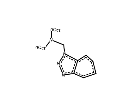 CCCCCCCCN(CCCCCCCC)Cn1nnc2ccccc21